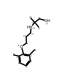 Cc1cccc(C)c1OCCCNC(C)(C)CO